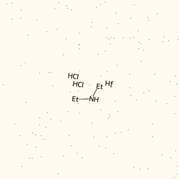 CCNCC.Cl.Cl.[Hf]